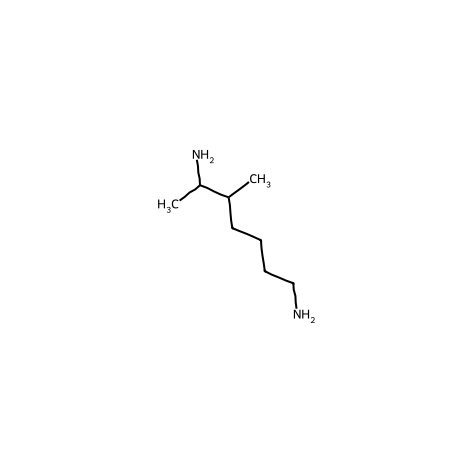 CC(N)C(C)CCCCN